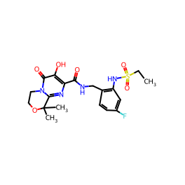 CCS(=O)(=O)Nc1cc(F)ccc1CNC(=O)c1nc2n(c(=O)c1O)CCOC2(C)C